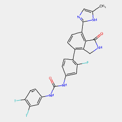 Cc1cnc(-c2ccc(-c3ccc(NC(=O)Nc4ccc(F)c(F)c4)cc3F)c3c2C(=O)NC3)[nH]1